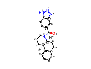 O=C(c1ccc2[nH]nnc2c1)N1CCC[C@@H]2c3ccccc3CC[C@@H]21